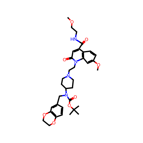 COCCNC(=O)c1cc(=O)n(CCN2CCC(N(Cc3ccc4c(c3)OCCO4)C(=O)OC(C)(C)C)CC2)c2cc(OC)ccc12